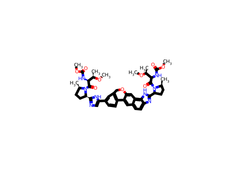 COC(=O)NC(C(=O)N1C(c2nc3ccc4cc5c(cc4c3[nH]2)OCc2cc(-c3cnc([C@@H]4CC[C@H](C)N4C(=O)[C@@H](NC(=O)OC)[C@H](C)OC)[nH]3)ccc2-5)CC[C@@H]1C)[C@H](C)OC